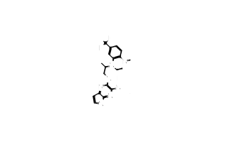 CCN(c1cc(C(F)(F)F)ccc1NC)C(C)CNc1nc2cc[nH]c2nc1N